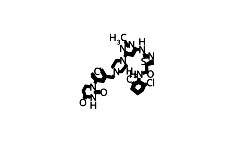 Cc1nc(Nc2ncc(C(=O)Nc3c(C)cccc3Cl)s2)cc(N2CCN(Cc3cccc(N4CCC(=O)NC4=O)c3)CC2)n1